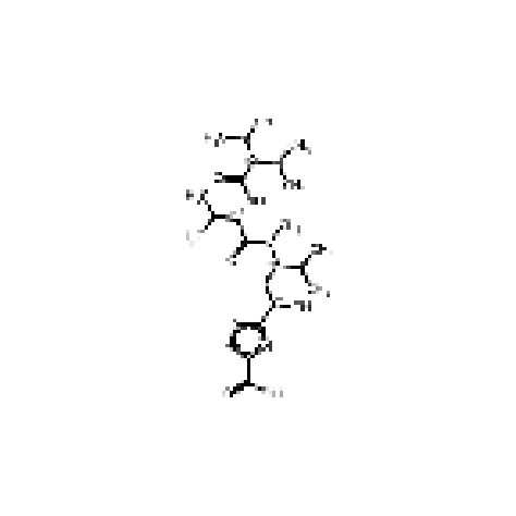 CC(C)[C@H](NC(=O)[C@@H](C(C)C)N(C)C)C(=O)N(C)[C@H](C[C@@H](O)c1nc(C(=O)O)cs1)C(C)C